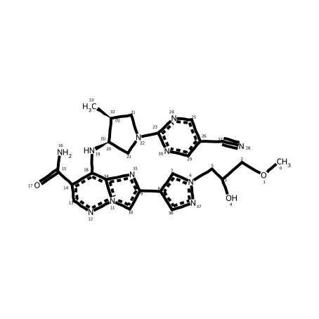 COCC(O)Cn1cc(-c2cn3ncc(C(N)=O)c(N[C@@H]4CN(c5ncc(C#N)cn5)C[C@@H]4C)c3n2)cn1